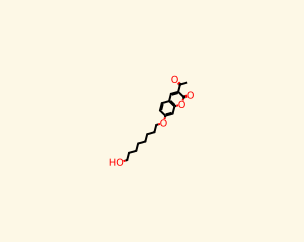 CC(=O)c1cc2ccc(OCCCCCCCCO)cc2oc1=O